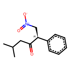 CC(C)CC(=O)[C@@H](C[N+](=O)[O-])c1ccccc1